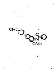 COc1cc2nn([C@H]3CC[C@H](C=O)CC3)cc2cc1NC(=O)c1ccccc1